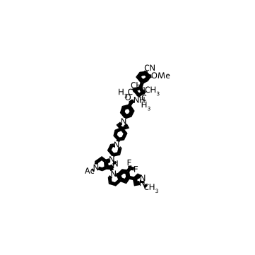 COc1cc(C2C(C)(C)C(NC(=O)c3ccc(N4CC5(CCC(N6CCC(n7nc(N8CCCc9cc(-c%10cnn(C)c%10)c(C(F)F)cc98)c8c7CCN(C(C)=O)C8)CC6)CC5)C4)cc3)C2(C)C)ccc1C#N